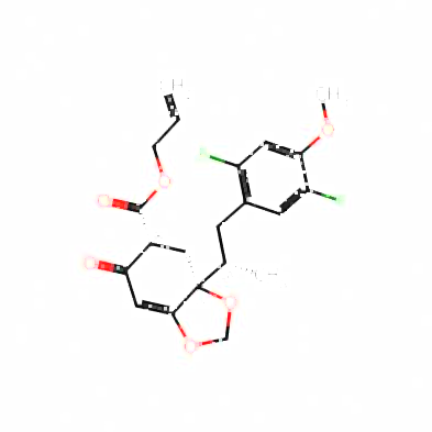 C=CCOC(=O)[C@@H]1C[C@]2([C@@H](C)Cc3cc(F)c(OC)cc3F)OCOC2=CC1=O